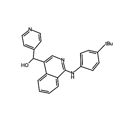 CC(C)(C)c1ccc(Nc2ncc(C(O)c3ccncc3)c3ccccc23)cc1